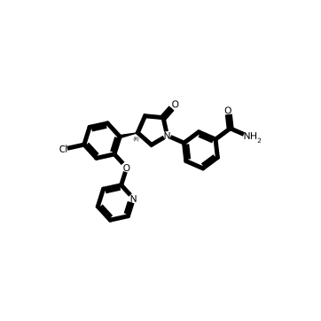 NC(=O)c1cccc(N2C[C@@H](c3ccc(Cl)cc3Oc3ccccn3)CC2=O)c1